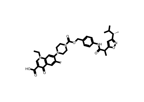 CCn1cc(C(=O)O)c(=O)c2cc(F)c(N3CCN(C(=O)OCc4ccc(NC(=O)C(C)c5cc([C@@H](C)C(C)C)no5)cc4)CC3)cc21